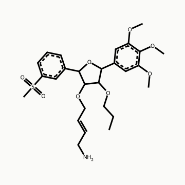 CCCOC1C(c2cc(OC)c(OC)c(OC)c2)OC(c2cccc(S(C)(=O)=O)c2)C1OCC=CCN